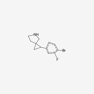 Fc1cc(C2CC23CCNC3)ccc1Br